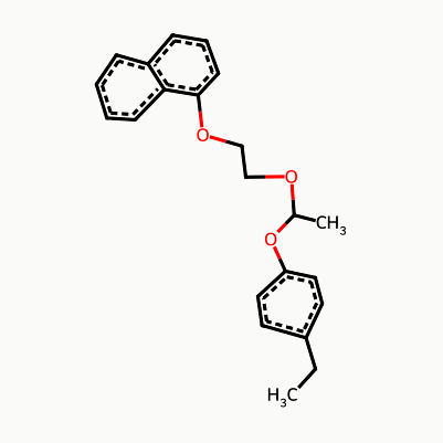 CCc1ccc(OC(C)OCCOc2cccc3ccccc23)cc1